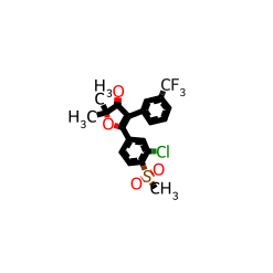 CC1(C)OC(c2ccc(S(C)(=O)=O)c(Cl)c2)=C(c2cccc(C(F)(F)F)c2)C1=O